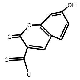 O=C(Cl)c1cc2ccc(O)cc2oc1=O